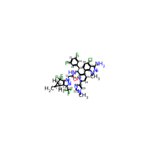 C=C1[C@@H]2c3c(C(F)(F)F)nn(CC(=O)N[C@@H](Cc4cc(F)cc(F)c4)c4nc(-c5cn(C)cn5)ccc4-c4ccc(Cl)c5c(N)nn(C)c45)c3C(F)(F)[C@H]12